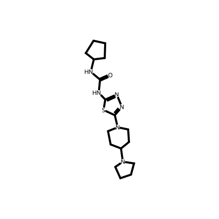 O=C(Nc1nnc(N2CCC(N3CCCC3)CC2)s1)NC1CCCC1